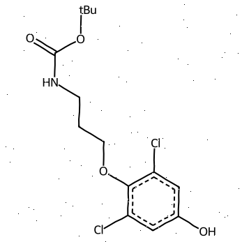 CC(C)(C)OC(=O)NCCCOc1c(Cl)cc(O)cc1Cl